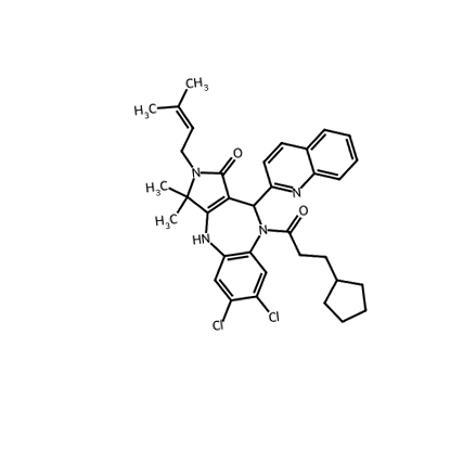 CC(C)=CCN1C(=O)C2=C(Nc3cc(Cl)c(Cl)cc3N(C(=O)CCC3CCCC3)C2c2ccc3ccccc3n2)C1(C)C